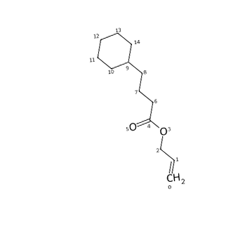 C=CCOC(=O)CCCC1CCCCC1